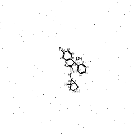 O=C(NC[C@H]1C2CNC[C@@H]21)[C@](O)(c1ccccc1)c1ccc(F)cc1